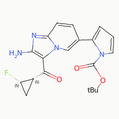 CC(C)(C)OC(=O)n1cccc1-c1ccc2nc(N)c(C(=O)[C@@H]3C[C@@H]3F)n2c1